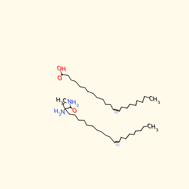 CCCCCCCC/C=C\CCCCCCCCCCC(N)(CC)C(N)=O.CCCCCCCC/C=C\CCCCCCCCCCCC(=O)O